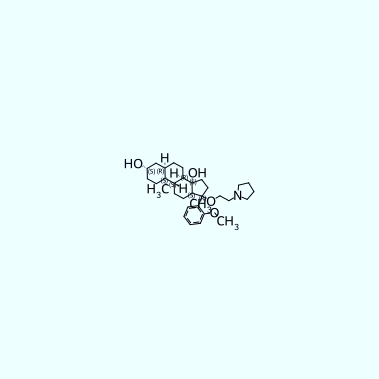 COc1ccccc1[C@@]1(OCCN2CCCC2)CC[C@]2(O)[C@@H]3CC[C@@H]4C[C@@H](O)CC[C@]4(C)[C@H]3CC[C@]12C